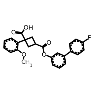 COc1ccccc1C1(C(=O)O)CC(C(=O)Oc2cccc(-c3ccc(F)cc3)c2)C1